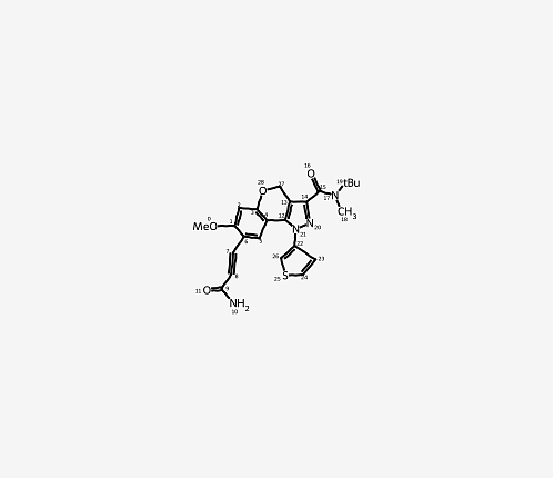 COc1cc2c(cc1C#CC(N)=O)-c1c(c(C(=O)N(C)C(C)(C)C)nn1-c1ccsc1)CO2